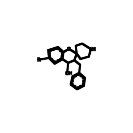 OC1c2cc(Br)ccc2OC2(CCNCC2)C1Cc1ccccc1